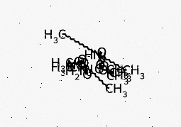 CCCCCCCCCCCCCCCCNC(=O)N(CCCCCCCCCCC)CCOP(=O)([O-])OCC[N+](C)(C)C.CCCCCCCCCCCN(CCOP(=O)([O-])OCC[N+](C)(C)C)C(N)=O